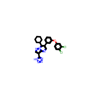 Clc1ccc(Oc2cccc(-c3cnc4c(-c5nnn[nH]5)cnn4c3C3CCCCC3)c2)cc1Cl